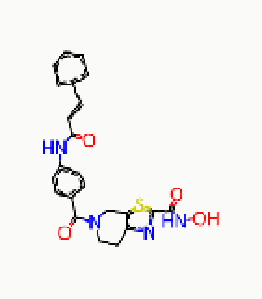 O=C(C=Cc1ccccc1)Nc1ccc(C(=O)N2CCc3nc(C(=O)NO)sc3C2)cc1